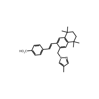 Cc1cnn(Cc2cc3c(cc2/C=C/c2ccc(C(=O)O)cc2)C(C)(C)CCC3(C)C)c1